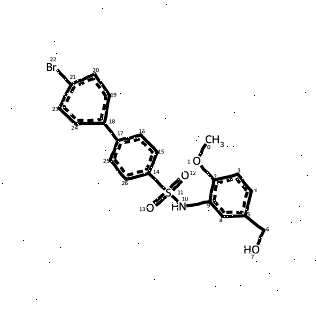 COc1ccc(CO)cc1NS(=O)(=O)c1ccc(-c2ccc(Br)cc2)cc1